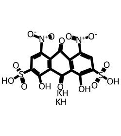 O=C1c2c([N+](=O)[O-])cc(S(=O)(=O)O)c(O)c2C(=O)c2c(O)c(S(=O)(=O)O)cc([N+](=O)[O-])c21.[KH].[KH]